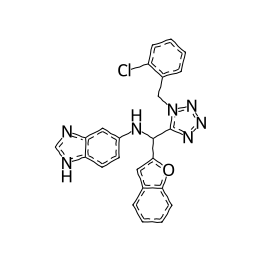 Clc1ccccc1Cn1nnnc1C(Nc1ccc2[nH]cnc2c1)c1cc2ccccc2o1